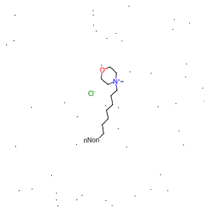 CCCCCCCCCCCCCCCC[N+]1(C)CCOCC1.[Cl-]